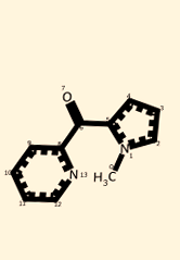 Cn1cccc1C(=O)c1ccccn1